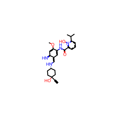 C#C[C@]1(O)CC[C@H](N/C=C2/C=C(NC(=O)c3cccc(C(C)C)[n+]3O)C(OC)=CC2=N)CC1